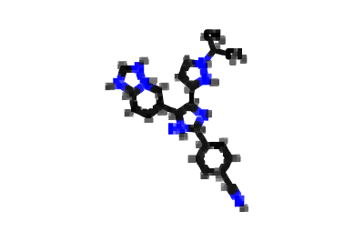 CC(C)n1ccc(-c2nc(-c3ccc(C#N)cc3)[nH]c2-c2ccc3ncnn3c2)n1